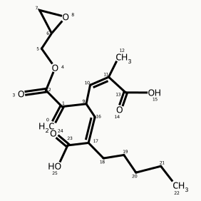 C=C(C(=O)OCC1CO1)C(C=C(C)C(=O)O)C=C(CCCCC)C(=O)O